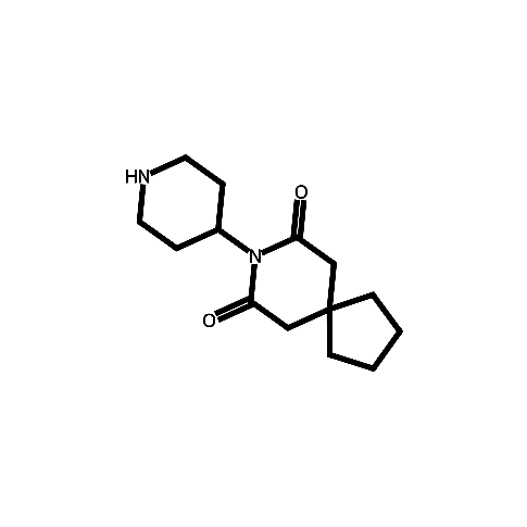 O=C1CC2(CCCC2)CC(=O)N1C1CCNCC1